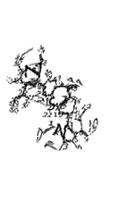 C=Cn1c(C)c(C)c(/C(=C/C)CC)c1-c1ccc2c(c1)S(C)(C)c1cc(-c3c(/C(=C/C)CC)c(C)c(C)n3C=C)ccc1C2=C